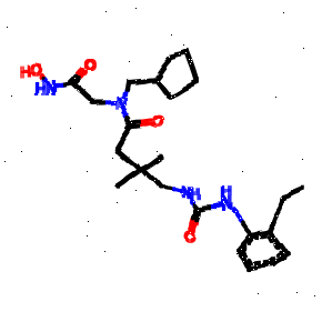 CCc1ccccc1NC(=O)NCC(C)(C)CC(=O)N(CC(=O)NO)CC1CCCC1